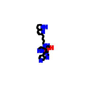 CCC(NCCCCc1ccc2c(n1)NCCC2)(Nc1ncnc2cnccc12)C(=O)O